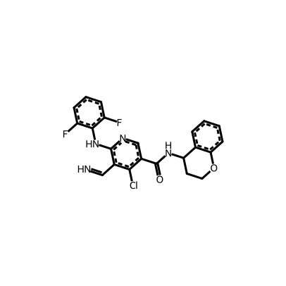 N=Cc1c(Nc2c(F)cccc2F)ncc(C(=O)NC2CCOc3ccccc32)c1Cl